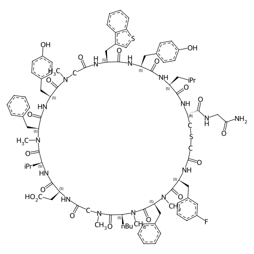 CCCC[C@H]1C(=O)N(C)CC(=O)N[C@@H](CC(=O)O)C(=O)N[C@@H](C(C)C)C(=O)N(C)[C@@H](Cc2ccccc2)C(=O)N[C@@H](Cc2ccc(O)cc2)C(=O)N(C)CC(=O)N[C@@H](Cc2csc3ccccc23)C(=O)N[C@@H](Cc2ccc(O)cc2)C(=O)N[C@@H](CC(C)C)C(=O)N[C@H](C(=O)NCC(N)=O)CSCC(=O)N[C@@H](Cc2cccc(F)c2)C(=O)N(C)[C@@H](Cc2ccccc2)C(=O)N1C